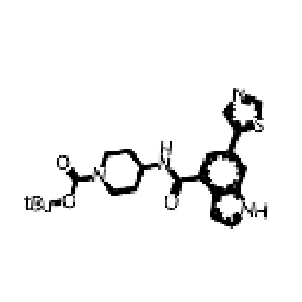 CC(C)(C)OC(=O)N1CCC(NC(=O)c2cc(-c3cncs3)cc3[nH]ccc23)CC1